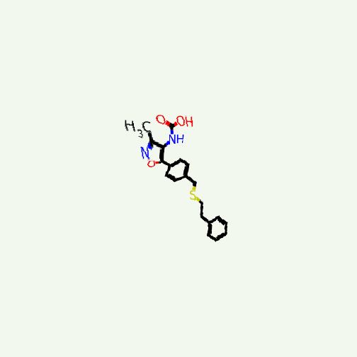 Cc1noc(-c2ccc(CSCCc3ccccc3)cc2)c1NC(=O)O